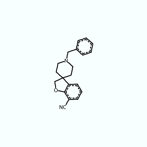 N#Cc1cccc2c1OCC21CCN(Cc2ccccc2)CC1